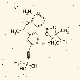 CC(Oc1cc(B2OC(C)(C)C(C)(C)O2)cnc1N)c1cccc(C#CC(C)(C)O)c1